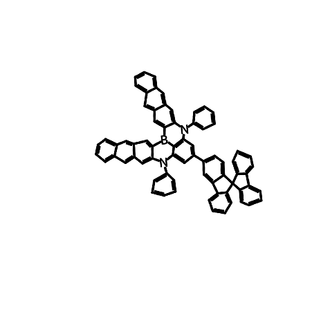 c1ccc(N2c3cc4cc5ccccc5cc4cc3B3c4cc5cc6ccccc6cc5cc4N(c4ccccc4)c4cc(-c5ccc6c(c5)-c5ccccc5C65c6ccccc6-c6ccccc65)cc2c43)cc1